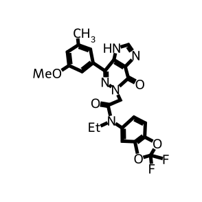 CCN(C(=O)Cn1nc(-c2cc(C)cc(OC)c2)c2[nH]cnc2c1=O)c1ccc2c(c1)OC(F)(F)O2